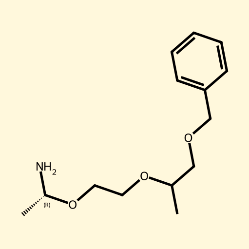 CC(COCc1ccccc1)OCCO[C@H](C)N